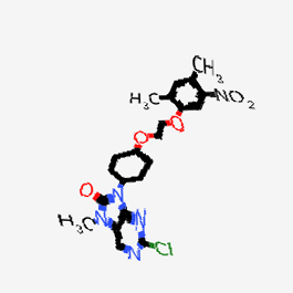 Cc1cc(C)c([N+](=O)[O-])cc1OCCOC1CCC(n2c(=O)n(C)c3cnc(Cl)nc32)CC1